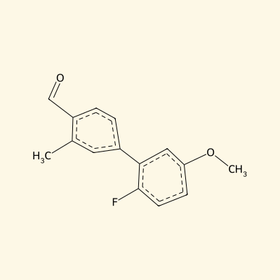 COc1ccc(F)c(-c2ccc(C=O)c(C)c2)c1